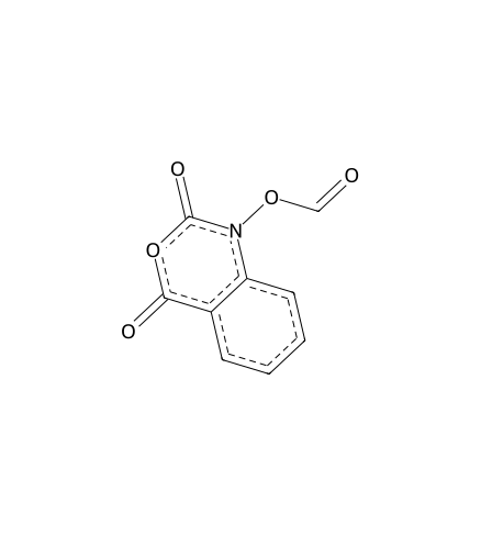 O=COn1c(=O)oc(=O)c2ccccc21